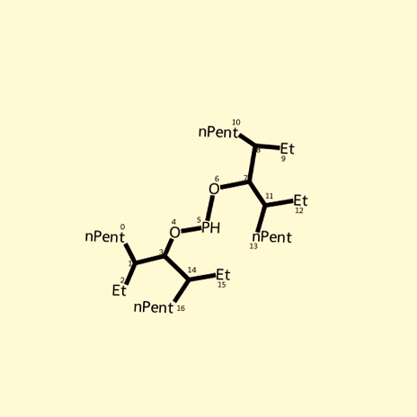 CCCCCC(CC)C(OPOC(C(CC)CCCCC)C(CC)CCCCC)C(CC)CCCCC